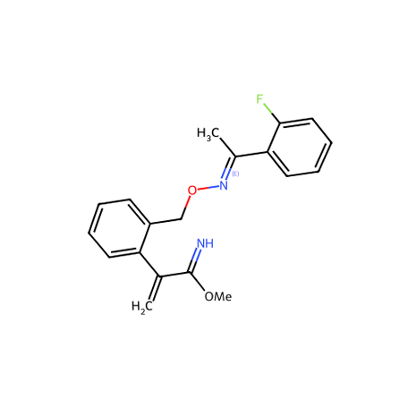 C=C(C(=N)OC)c1ccccc1CO/N=C(\C)c1ccccc1F